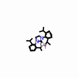 CC(C)c1cccc(C(C)C)c1N1CCN(c2c(C(C)C)cccc2C(C)C)[C]1=[Cu][I]